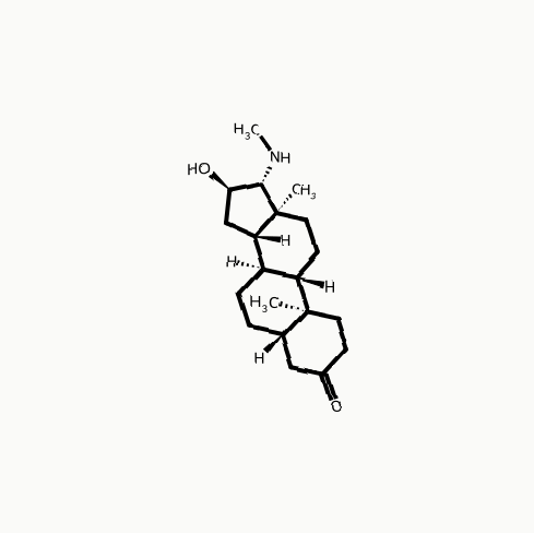 CN[C@H]1[C@H](O)C[C@H]2[C@@H]3CC[C@H]4CC(=O)CC[C@]4(C)[C@H]3CC[C@@]21C